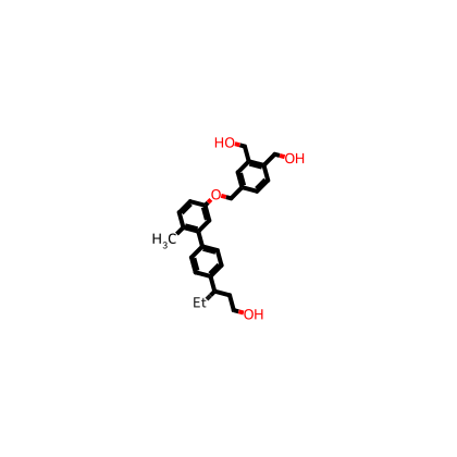 CCC(CCO)c1ccc(-c2cc(OCc3ccc(CO)c(CO)c3)ccc2C)cc1